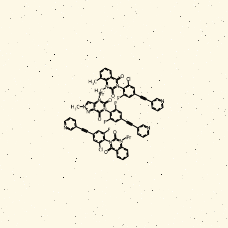 CC(C)n1c(=O)n(-c2c(F)cc(C#Cc3cccnc3)cc2Cl)c(=O)c2ccccc21.CC(C)n1c(=O)n(-c2c(F)cc(C#Cc3cccnc3)cc2F)c(=O)c2nn(C)cc21.Cc1cccc2c(=O)n(-c3c(F)cc(C#Cc4cccnc4)cc3Cl)c(=O)n(C)c12